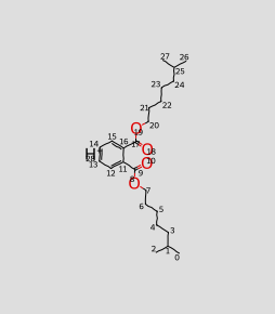 CC(C)CCCCCOC(=O)c1ccccc1C(=O)OCCCCCC(C)C.[H+]